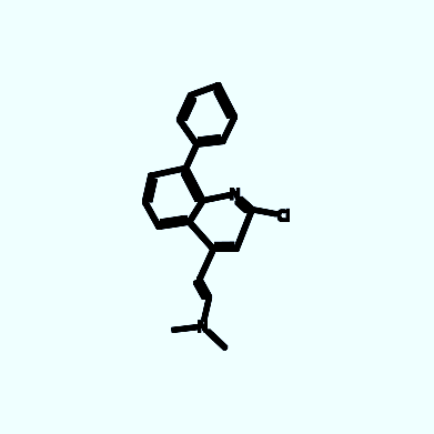 CN(C)C=Cc1cc(Cl)nc2c(-c3ccccc3)cccc12